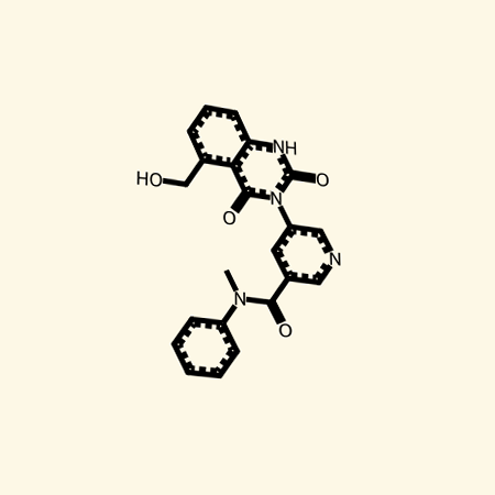 CN(C(=O)c1cncc(-n2c(=O)[nH]c3cccc(CO)c3c2=O)c1)c1ccccc1